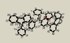 c1ccc(-c2ccccc2N(c2ccc(-c3ccccc3-n3c4ccccc4c4ccccc43)cc2)c2ccc(-c3cccc4oc5ccccc5c34)cc2)cc1